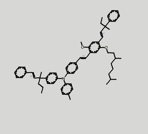 CCCC(C)(/C=C/c1ccccc1)c1ccc(N(c2ccc(C)cc2)c2ccc(/C=C/c3cc(OCCC(C)CCCC(C)C)c(/C=C/C(C)(CC)c4ccccc4)cc3OC)cc2)cc1